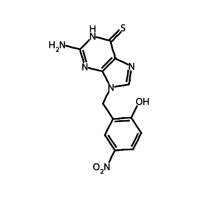 Nc1nc2c(ncn2Cc2cc([N+](=O)[O-])ccc2O)c(=S)[nH]1